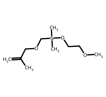 C=C(C)COC[Si](C)(C)OCCOC